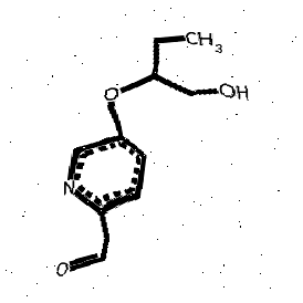 CCC(CO)Oc1ccc(C=O)nc1